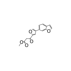 COC(=O)CC(=O)c1cc(-c2ccc3ccoc3c2)co1